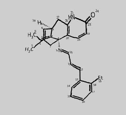 C/C=C1\[C@H]2C=C(C)C[C@]1(/N=C/C=C/c1ccccc1CC)c1ccc(=O)[nH]c1C2